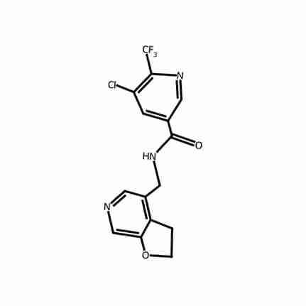 O=C(NCc1cncc2c1CCO2)c1cnc(C(F)(F)F)c(Cl)c1